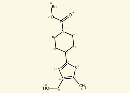 Cc1sc(C2CCN(C(=O)OC(C)(C)C)CC2)nc1CO